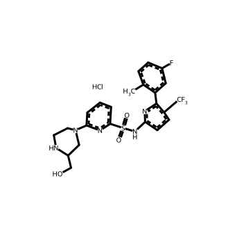 Cc1ccc(F)cc1-c1nc(NS(=O)(=O)c2cccc(N3CCNC(CO)C3)n2)ccc1C(F)(F)F.Cl